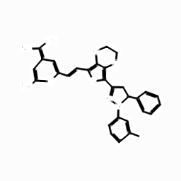 Cc1cccc(N2N=C(c3sc(/C=C/C4=CC(=C(C#N)C#N)C=C(C(C)(C)C)O4)c4c3OCCO4)CC2c2ccccc2)c1